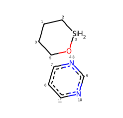 C1CC[SiH2]OC1.c1cncnc1